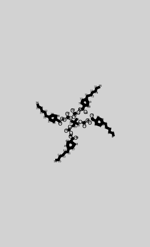 CCCCCCc1ccc(C(=O)OOC(=O)OCC(COC(=O)OOC(=O)c2ccc(CCCCCC)cc2)(COC(=O)OOC(=O)c2ccc(CCCCCC)cc2)COC(=O)OOC(=O)c2ccc(CCCCCC)cc2)cc1